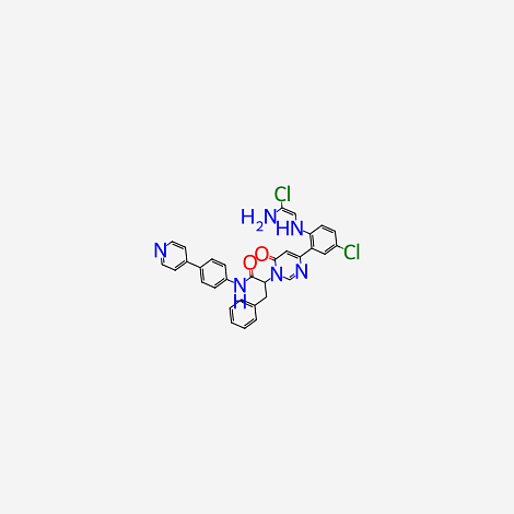 N/C(Cl)=C\Nc1ccc(Cl)cc1-c1cc(=O)n(C(Cc2ccccc2)C(=O)Nc2ccc(-c3ccncc3)cc2)cn1